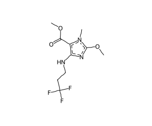 COC(=O)c1c(NCCC(F)(F)F)nc(OC)n1C